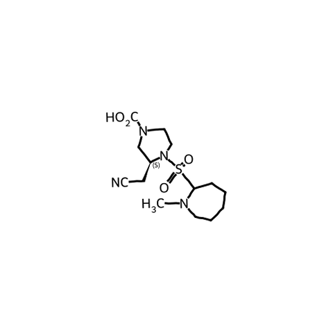 CN1CCCCCC1S(=O)(=O)N1CCN(C(=O)O)C[C@@H]1CC#N